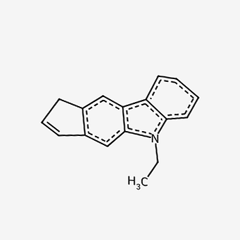 CCn1c2ccccc2c2cc3c(cc21)C=CC3